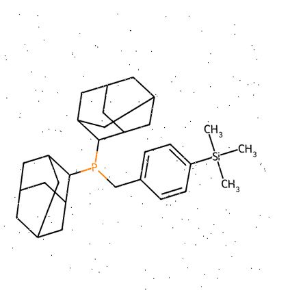 C[Si](C)(C)c1ccc(CP(C2C3CC4CC(C3)CC2C4)C2C3CC4CC(C3)CC2C4)cc1